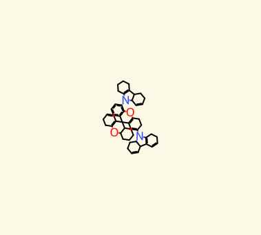 C1=CC2=C(CC1)OC1CCCCC1C21C2=C(CCC(N3C4=C(C=CCC4)C4C=CCCC43)=C2)Oc2c(N3C4=C(CCCC4)C4CCC=CC43)cccc21